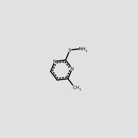 Cc1ccnc(SN)n1